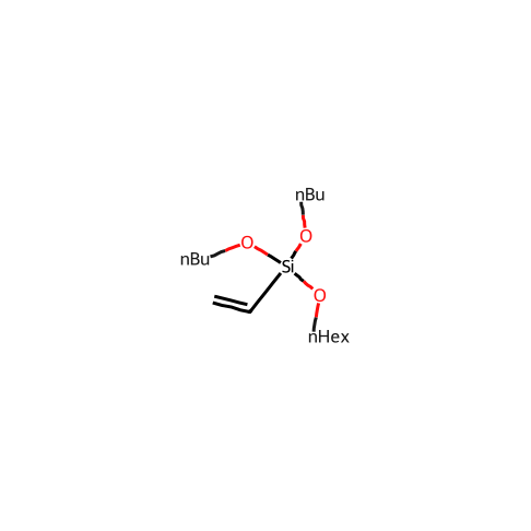 C=C[Si](OCCCC)(OCCCC)OCCCCCC